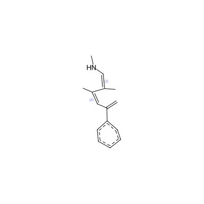 C=C(/C=C(C)\C(C)=C/NC)c1ccccc1